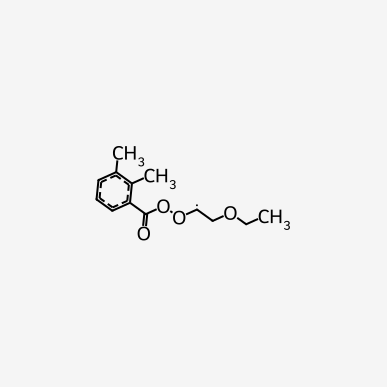 CCOC[CH]OOC(=O)c1cccc(C)c1C